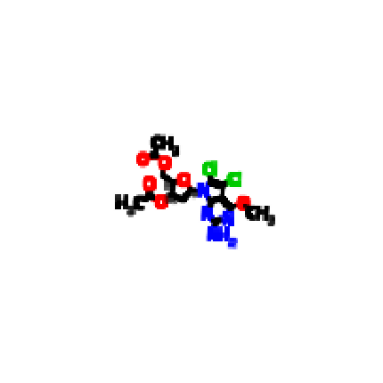 COc1nc(N)nc2c1c(Cl)c(Cl)n2[C@@H]1C[C@H](OC(C)=O)[C@@H](COC(C)=O)O1